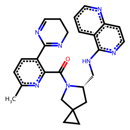 Cc1ccc(C2=NCCC=N2)c(C(=O)N2CC3(CC3)C[C@H]2CNc2nccc3ncccc23)n1